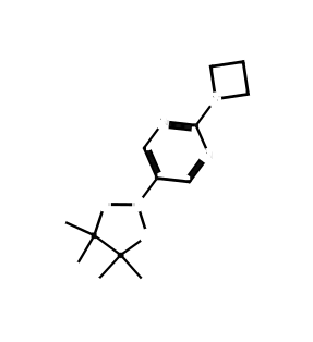 CC1(C)OB(c2cnc(N3CCC3)nc2)OC1(C)C